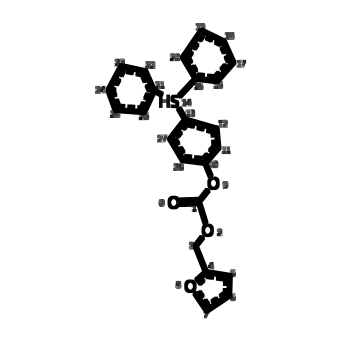 O=C(OCc1ccco1)Oc1ccc([SH](c2ccccc2)c2ccccc2)cc1